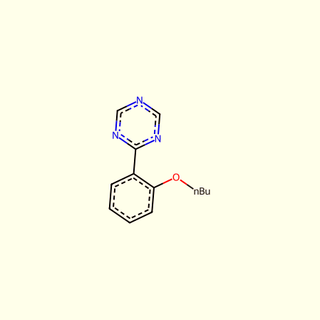 CCCCOc1ccccc1-c1ncncn1